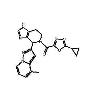 Cc1cccn2nc(C3c4nc[nH]c4CCN3C(=O)c3nnc(C4CC4)o3)cc12